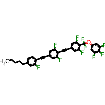 CCCCCc1ccc(C#Cc2cc(F)c(C#Cc3cc(F)c(C(F)(F)Oc4cc(F)c(F)c(F)c4)c(F)c3)c(F)c2)c(F)c1